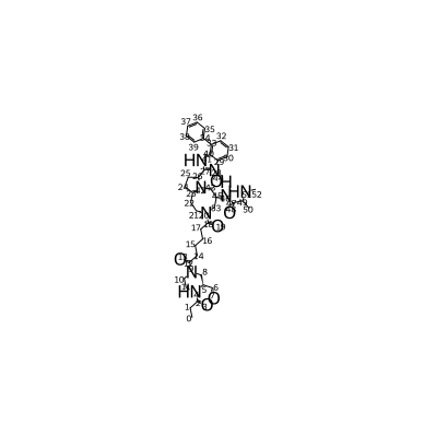 CCC(=O)N[C@H](C=O)CN(CC)C(=O)CCCCC(=O)N1CCC2CCC(c3nc4cccc(-c5ccccc5)c4[nH]3)N2C(=O)C(NC(=O)C(C)NC)C1